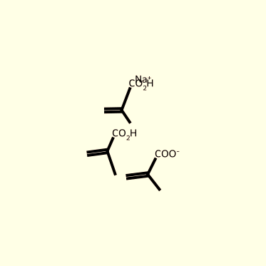 C=C(C)C(=O)O.C=C(C)C(=O)O.C=C(C)C(=O)[O-].[Na+]